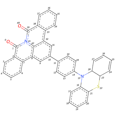 O=c1c2ccccc2c2cc(-c3ccc(N4c5ccccc5SC5C=CC=CC54)cc3)cc3c4ccccc4c(=O)n1c23